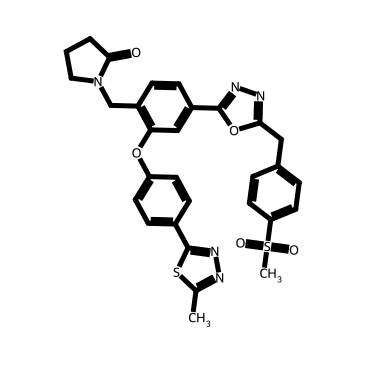 Cc1nnc(-c2ccc(Oc3cc(-c4nnc(Cc5ccc(S(C)(=O)=O)cc5)o4)ccc3CN3CCCC3=O)cc2)s1